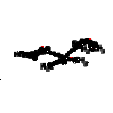 C#CCOc1ccc(C(=O)OCC2CC3C4CC(COC(=O)CCCCCCCCC5C(CCCCCCCC)CCC(CCCCCC)C5CCCCCCCCC(=O)OCC5CC6C7CC(COC(=O)C(=C)C)C(C7)C6C5)[C@@H](C4)C3C2)cc1